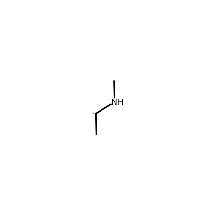 C[CH]NC